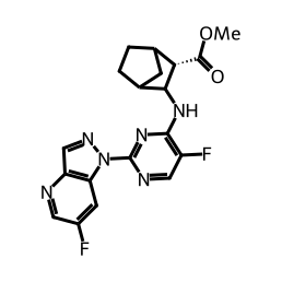 COC(=O)[C@H]1C2CCC(C2)C1Nc1nc(-n2ncc3ncc(F)cc32)ncc1F